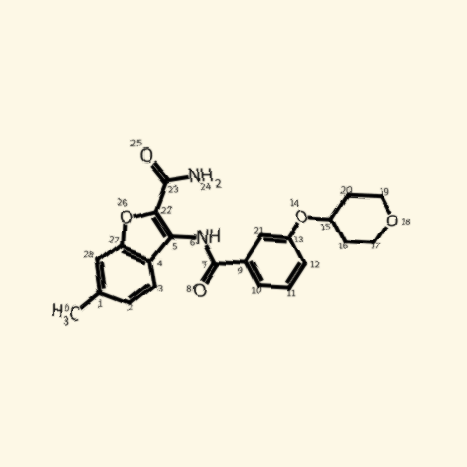 Cc1ccc2c(NC(=O)c3cccc(OC4CCOCC4)c3)c(C(N)=O)oc2c1